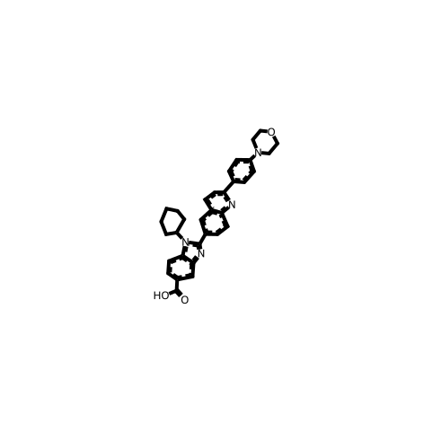 O=C(O)c1ccc2c(c1)nc(-c1ccc3nc(-c4ccc(N5CCOCC5)cc4)ccc3c1)n2C1CCCCC1